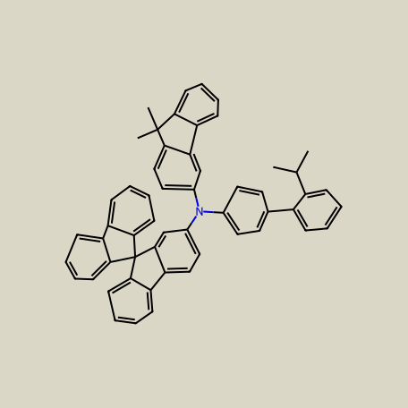 CC(C)c1ccccc1-c1ccc(N(c2ccc3c(c2)-c2ccccc2C3(C)C)c2ccc3c(c2)C2(c4ccccc4-c4ccccc42)c2ccccc2-3)cc1